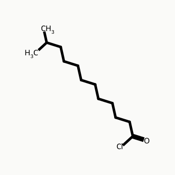 CC(C)CCCCCCCCCC(=O)Cl